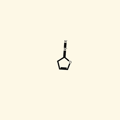 [N-]=[N+]=C1CC=CO1